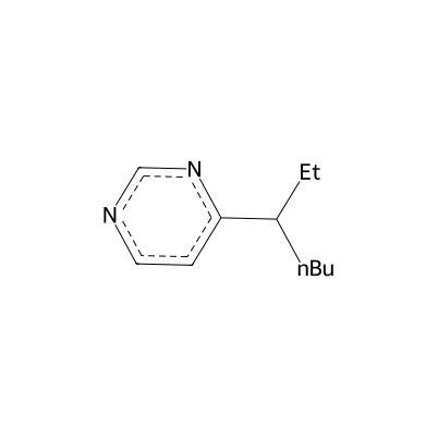 CCCCC(CC)c1ccncn1